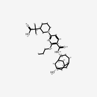 CCCOc1nc(N2CCCC(C(C)(C)C(=O)O)C2)ccc1C(=O)N[C@@H]1CCC2C[C@@]3(O)CC2CC1C3